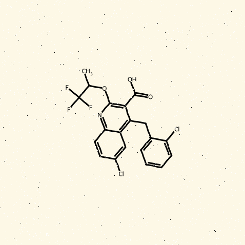 CC(Oc1nc2ccc(Cl)cc2c(Cc2ccccc2Cl)c1C(=O)O)C(F)(F)F